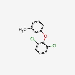 Cc1cccc(Oc2c(Cl)cccc2Cl)c1